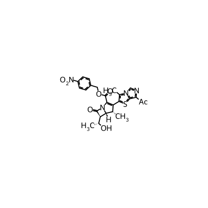 CC(=O)c1ncn2c(C)c(C3=C(C(=O)OCc4ccc([N+](=O)[O-])cc4)N4C(=O)[C@H]([C@@H](C)O)[C@H]4[C@H]3C)sc12